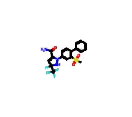 CS(=O)(=O)c1cc(N2NC(F)(C(F)(F)F)C=C2C(N)=O)ccc1-c1ccccc1